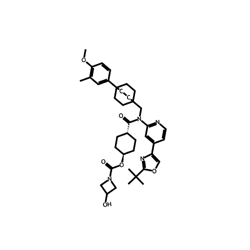 COc1ccc(C23CCC(CN(c4cc(-c5coc(C(C)(C)C)n5)ccn4)C(=O)[C@H]4CC[C@H](OC(=O)N5CC(O)C5)CC4)(CC2)CC3)cc1C